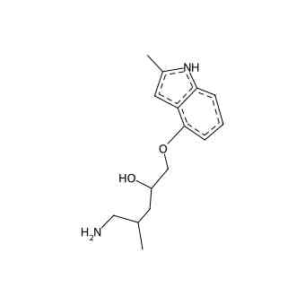 Cc1cc2c(OCC(O)CC(C)CN)cccc2[nH]1